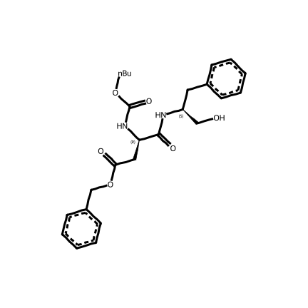 CCCCOC(=O)N[C@H](CC(=O)OCc1ccccc1)C(=O)N[C@H](CO)Cc1ccccc1